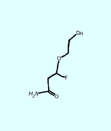 NC(=O)CC(F)OCCO